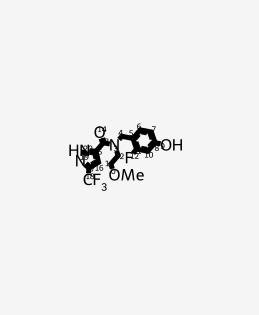 COCCN(Cc1ccc(O)cc1F)C(=O)c1cc(C(F)(F)F)n[nH]1